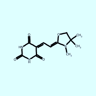 CN1/C(=C/C=C2C(=O)NC(=O)NC2=O)OCC1(C)C